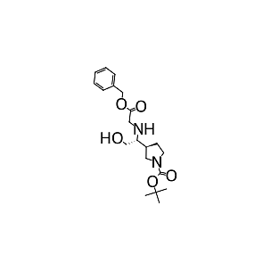 CC(C)(C)OC(=O)N1CC[C@H]([C@H](CO)NCC(=O)OCc2ccccc2)C1